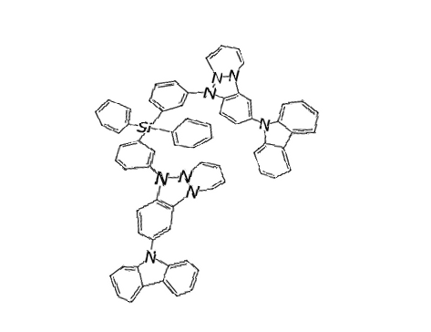 C1=CN2c3cc(-n4c5ccccc5c5ccccc54)ccc3N(c3cccc([Si](c4ccccc4)(c4ccccc4)c4cccc(N5c6ccc(-n7c8ccccc8c8ccccc87)cc6N6C=CC=CN65)c4)c3)N2C=C1